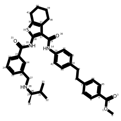 COC(=O)c1ccc(CCc2ccc(NC(=O)c3c(NC(=O)c4cccc(CN[C@H](C)C(C)C)c4)sc4c3CCCC4)cc2)cc1